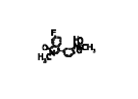 Cn1cc(-c2cccc(NS(C)(=O)=O)c2)c2ccc(F)cc2c1=O